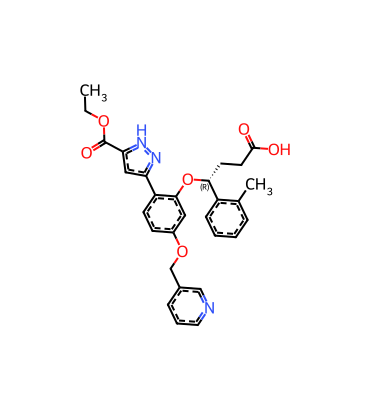 CCOC(=O)c1cc(-c2ccc(OCc3cccnc3)cc2O[C@H](CCC(=O)O)c2ccccc2C)n[nH]1